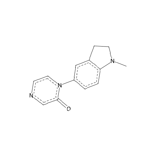 CN1CCc2cc(-n3ccncc3=O)ccc21